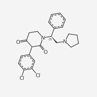 O=C1CCN([C@H](CN2CCCC2)c2ccccc2)C(=O)C1c1ccc(Cl)c(Cl)c1